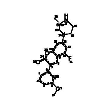 COc1cccc(-c2cc3c(F)cc(N4CCN[C@@H](C)C4)cc3oc2=O)n1